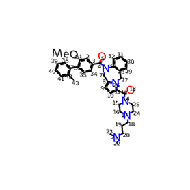 COc1cc(C(=O)N2Cc3ccc(C(=O)N4CCN(CCCN(C)C)CC4)n3Cc3ccccc32)ccc1-c1ccccc1C